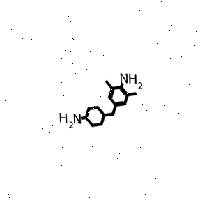 Cc1cc(CC2CCC(N)CC2)cc(C)c1N